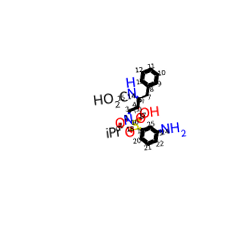 CC(C)ON(C[C@H](O)[C@H](Cc1ccccc1)NC(=O)O)S(=O)(=O)c1cccc(N)c1